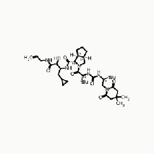 C=CCNC(=O)C(O)C(CC1CC1)NC(=O)[C@@H]1[C@H]2CCC[C@H]2CN1C(=O)[C@@H](NC(=O)N[C@H](CN1C(=O)CC(C)(C)CC1=O)C(C)(C)C)C(C)(C)C